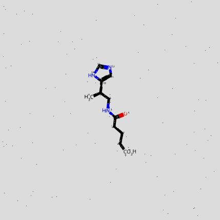 CC(CNC(=O)CCCC(=O)O)c1cnc[nH]1